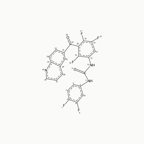 O=C(Nc1ccc(F)c(F)c1)Nc1cc(F)c(F)c(C(=O)c2ccc3ncccc3c2)c1F